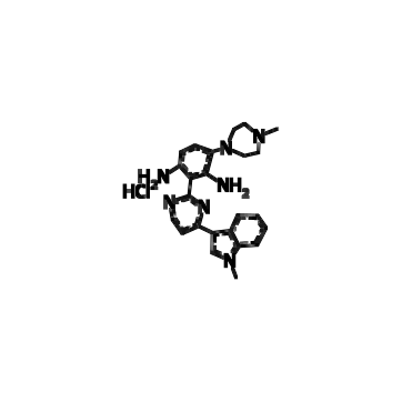 CN1CCN(c2ccc(N)c(-c3nccc(-c4cn(C)c5ccccc45)n3)c2N)CC1.Cl